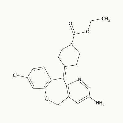 CCOC(=O)N1CCC(=C2c3ccc(Cl)cc3OCc3cc(N)cnc32)CC1